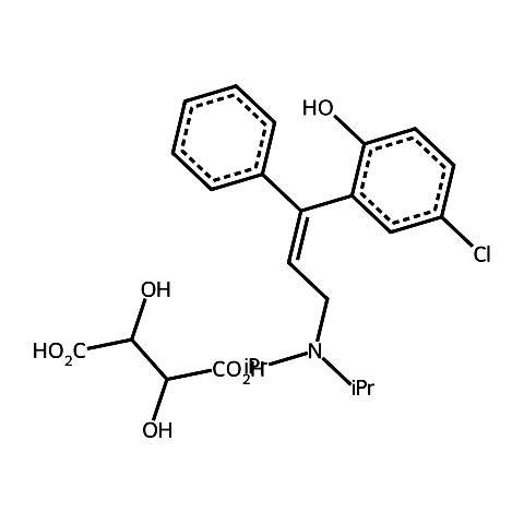 CC(C)N(CC=C(c1ccccc1)c1cc(Cl)ccc1O)C(C)C.O=C(O)C(O)C(O)C(=O)O